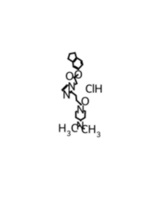 CN(C)C1CCN(C(=O)CCc2nccn2CC(=O)Oc2ccc3c(c2)CCC3)CC1.Cl